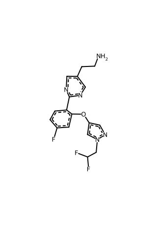 NCCc1cnc(-c2ccc(F)cc2Oc2cnn(CC(F)F)c2)nc1